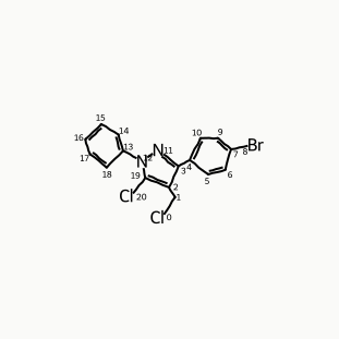 ClCc1c(-c2ccc(Br)cc2)nn(-c2ccccc2)c1Cl